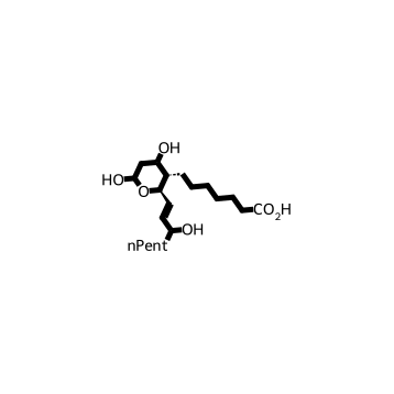 CCCCCC(O)/C=C/[C@H]1OC(O)CC(O)[C@@H]1CCCCCCC(=O)O